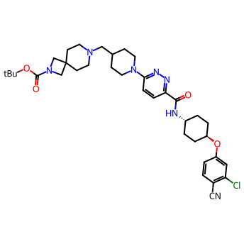 CC(C)(C)OC(=O)N1CC2(CCN(CC3CCN(c4ccc(C(=O)N[C@H]5CC[C@H](Oc6ccc(C#N)c(Cl)c6)CC5)nn4)CC3)CC2)C1